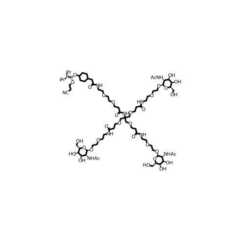 CC(=O)N[C@H]1[C@H](OCCOCCNC(=O)CCOCC(COCCC(=O)NCCOCCO[C@@H]2O[C@H](CO)[C@H](O)[C@H](O)[C@H]2NC(C)=O)(COCCC(=O)NCCOCCO[C@@H]2O[C@H](CO)[C@H](O)[C@H](O)[C@H]2NC(C)=O)NC(=O)CCOCCOCCNC(=O)CC2CCC(OP(OCCC#N)N(C(C)C)C(C)C)CC2)O[C@H](CO)[C@H](O)[C@@H]1O